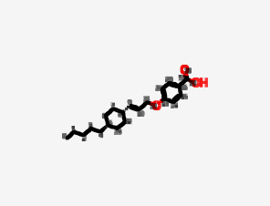 CCCCC[C@H]1CC[C@H](/C=C/COc2ccc(C(=O)O)cc2)CC1